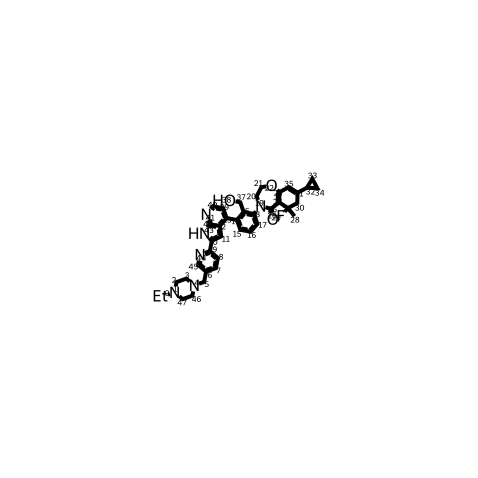 CCN1CCN(Cc2ccc(-c3cc4c(-c5cccc(N6CCOC7=C(C6=O)C(C)(F)CC(C6CC6)=C7)c5CO)ccnc4[nH]3)nc2)CC1